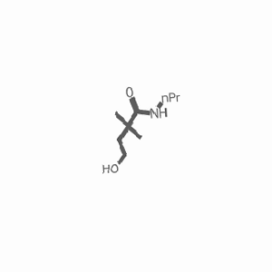 CCCNC(=O)C(C)(C)CCO